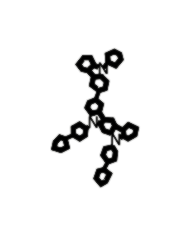 c1ccc(-c2ccc(-n3c4ccccc4c4cc5c6cc(-c7ccc8c(c7)c7ccccc7n8-c7ccccc7)ccc6n(-c6ccc(-c7ccccc7)cc6)c5cc43)cc2)cc1